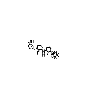 Cc1c(Nc2nccc(CN3CCC(O)C3)c2F)cccc1B1OC(C)(C)C(C)(C)O1